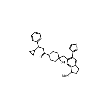 CNC1CCc2cc(-c3ccsn3)c(CC3(O)CCN(C(=O)CC(c4ccccc4)C4CC4)CC3)cc21